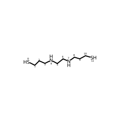 SCCCNCCNCCCS